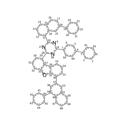 c1ccc(-c2ccc(-c3nc(-c4cccc5ccc(-c6ccccc6)cc45)nc(-c4cccc5oc6c(-c7cc(-c8ccccc8)c8ccccc8c7)cccc6c45)n3)cc2)cc1